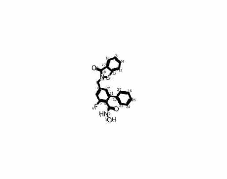 O=C(NO)c1c(F)cc(Cn2sc3ccccc3c2=O)cc1-c1ccccc1